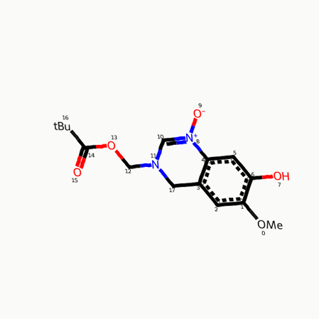 COc1cc2c(cc1O)[N+]([O-])=CN(COC(=O)C(C)(C)C)C2